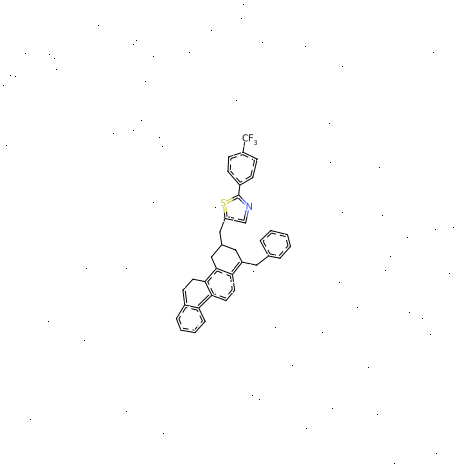 FC(F)(F)c1ccc(-c2ncc(CC3CC(Cc4ccccc4)=c4ccc5c(c4C3)CC=c3ccccc3=5)s2)cc1